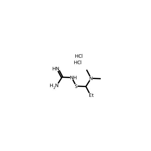 CCC(SNC(=N)N)N(C)C.Cl.Cl